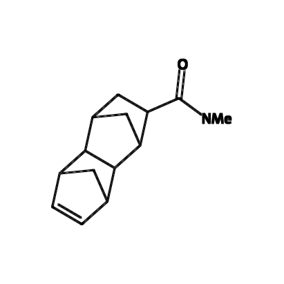 CNC(=O)C1CC2CC1C1C3C=CC(C3)C21